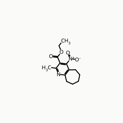 CCOC(=O)c1c(C)nc2c(c1[N+](=O)[O-])CCCCC2